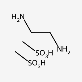 CS(=O)(=O)O.CS(=O)(=O)O.NCCN